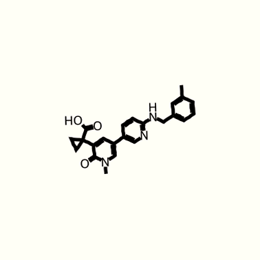 Cc1cccc(CNc2ccc(-c3cc(C4(C(=O)O)CC4)c(=O)n(C)c3)cn2)c1